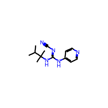 CC(C)C(C)(C)NC(=NC#N)Nc1ccncc1